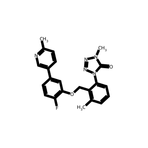 Cc1ccc(-c2ccc(F)c(OCc3c(C)cccc3-n3nnn(C)c3=O)c2)cn1